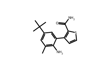 Cc1cc(C(C)(C)C)cc(-c2ccsc2C(N)=O)c1N